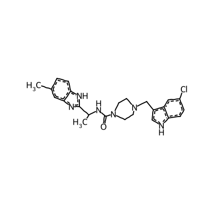 Cc1ccc2[nH]c(C(C)NC(=O)N3CCN(Cc4c[nH]c5ccc(Cl)cc45)CC3)nc2c1